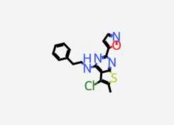 Cc1sc2nc(-c3ccno3)nc(NCCc3ccccc3)c2c1Cl